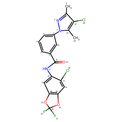 Cc1nn(-c2cccc(C(=O)Nc3cc4c(cc3Cl)OC(F)(F)O4)c2)c(C)c1Cl